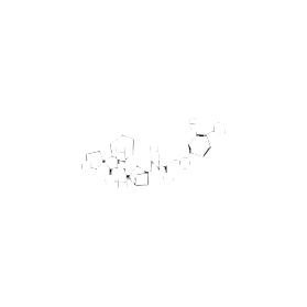 O=C(COc1ccc(Cl)c(F)c1)NC12CC(C1)[C@@H](NC(=O)C1(C3CCCCC3)CCOC1)C2